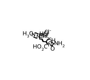 CN1CC[N+](C)(CC=CC2=C(C(=O)O)N3C(=O)[C@@H](N)[C@H]3SC2)CC1.Cl.Cl.[Cl-]